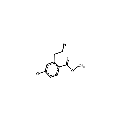 COC(=O)c1ccc(Cl)cc1CCBr